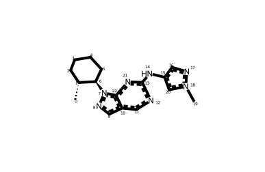 C[C@@H]1CCCC[C@H]1n1ncc2cnc(Nc3cnn(C)c3)nc21